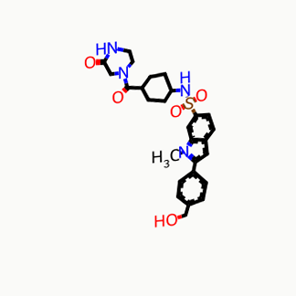 Cn1c(-c2ccc(CO)cc2)cc2ccc(S(=O)(=O)NC3CCC(C(=O)N4CCNC(=O)C4)CC3)cc21